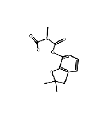 CN(C(=O)Cl)C(=O)Oc1cccc2c1OC(C)(C)C2